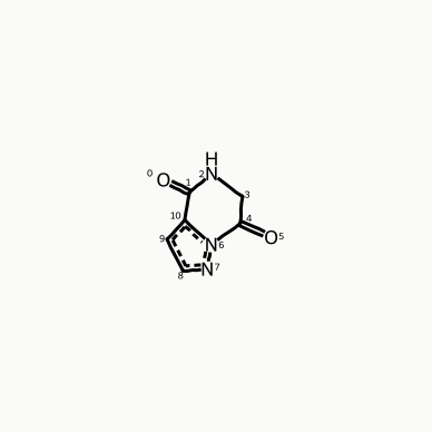 O=C1NCC(=O)n2nccc21